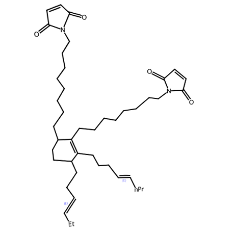 CC/C=C/CCC1CCC(CCCCCCCCN2C(=O)C=CC2=O)C(CCCCCCCCN2C(=O)C=CC2=O)=C1CCC/C=C/CCC